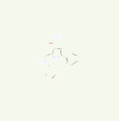 NC(=O)c1c(Cl)c(-c2ccccc2)n2c1CNCC2.O=C(O)C(F)(F)F